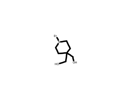 CCN1CCC(CO)(CO)CC1